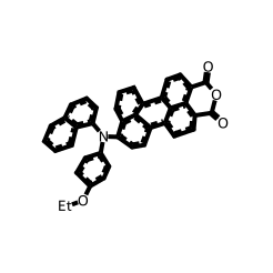 CCOc1ccc(N(c2cccc3ccccc23)c2ccc3c4ccc5c6c(ccc(c7cccc2c73)c64)C(=O)OC5=O)cc1